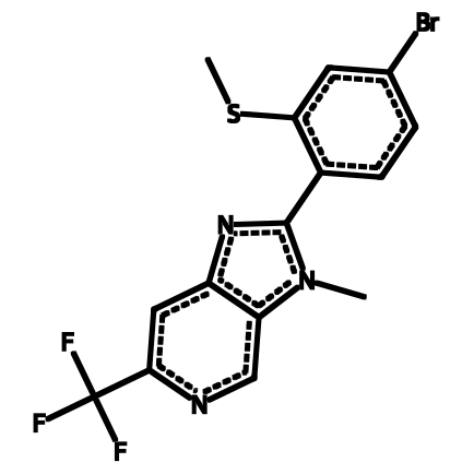 CSc1cc(Br)ccc1-c1nc2cc(C(F)(F)F)ncc2n1C